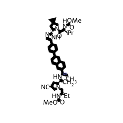 C=C(N/C(=C\C)c1ccc2cc(-c3ccc(-c4cnc([C@@H]5CC6(CC6)CN5C(=O)[C@@H](NC(=O)OC)C(C)C)[nH]4)cc3)ccc2c1)[C@@H]1C[C@H](C#N)CN1C[C@H](CC)NC(=O)OC